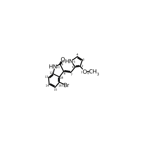 COc1cc[nH]c1C=C1C(=O)Nc2cccc(Br)c21